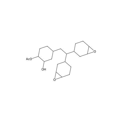 CC(=O)OC1CCC(CC(C2CCC3OC3C2)C2CCC3OC3C2)CC1O